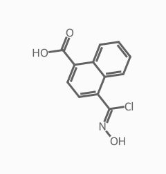 O=C(O)c1ccc(C(Cl)=NO)c2ccccc12